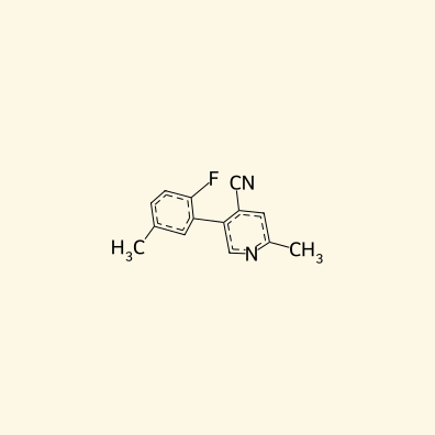 Cc1ccc(F)c(-c2cnc(C)cc2C#N)c1